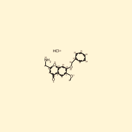 COc1cc2c(=O)cc(CN)oc2cc1OCc1ccccc1.Cl